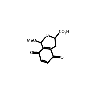 COC1OC(C(=O)O)CC2=C1C(=O)C=CC2=O